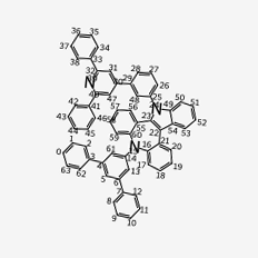 c1ccc(-c2cc(-c3ccccc3)cc(N3c4ccccc4-c4c(n(-c5cccc(-c6cc(-c7ccccc7)nc(-c7ccccc7)c6)c5)c5ccccc45)-c4ccccc43)c2)cc1